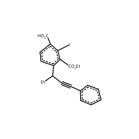 CCOC(=O)c1c(C(C#Cc2ccccc2)CC)ccc(C(=O)O)c1I